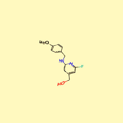 COc1ccc(CNc2cc(CO)cc(F)n2)cc1